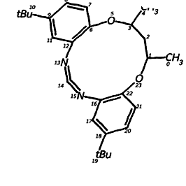 CC1CC(C)Oc2ccc(C(C)(C)C)cc2N=C=Nc2cc(C(C)(C)C)ccc2O1